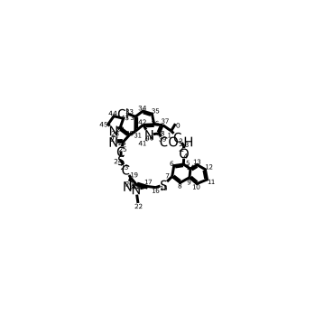 CC1CCOc2cc(cc3ccccc23)SCc2cc(nn2C)CSCc2nn3c(c2-c2c(Cl)ccc4c1c(C(=O)O)n(C)c24)CCC3